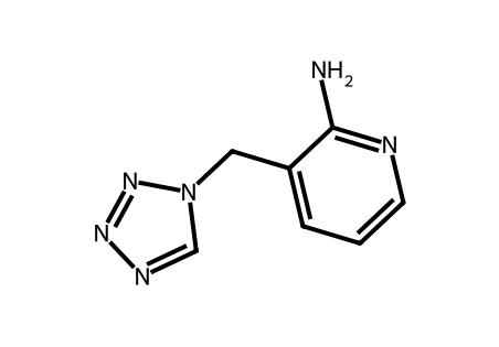 Nc1ncccc1Cn1cnnn1